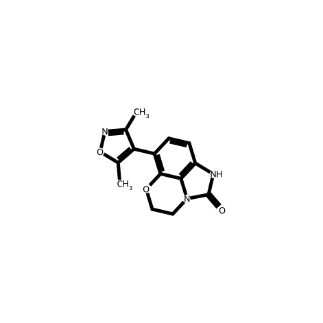 Cc1noc(C)c1-c1ccc2[nH]c(=O)n3c2c1OCC3